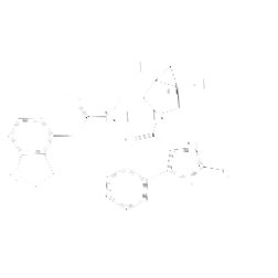 Cc1nc(C(=O)N2C[C@@H]3C[C@@H]3[C@H]2CNC(=O)Oc2cccc3c2CCO3)c(-c2ccccc2)s1